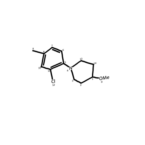 CO[C]1CCN(c2ccc(C)cc2Cl)CC1